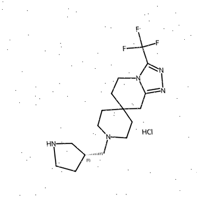 Cl.FC(F)(F)c1nnc2n1CCC1(CCN(C[C@@H]3CCNC3)CC1)C2